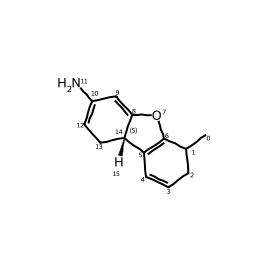 CC1CC=CC2=C1OC1=CC(N)=CC[C@H]12